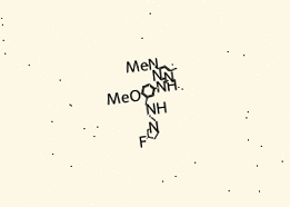 CNc1cc(C)nc(Nc2ccc(OC)c(CNCCN3CC[C@H](F)C3)c2)n1